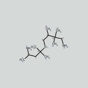 CC(N)CC(C)(C)OCC(C)C(C)(C)CN